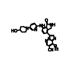 CCOc1c(C#N)cnn2c(-c3ccc(Nc4ccc(N5CCC(O)CC5)cn4)c4c3CNC4=O)cnc12